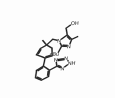 CCCCc1nc(C)c(CO)n1CC1(C)C=CC(c2ccccc2-c2nn[nH]n2)=CC1